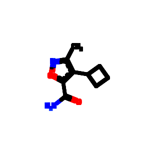 Cc1noc(C(N)=O)c1C1CCC1